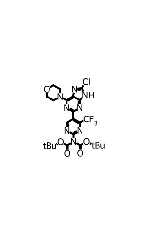 CC(C)(C)OC(=O)N(C(=O)OC(C)(C)C)c1ncc(-c2nc(N3CCOCC3)c3nc(Cl)[nH]c3n2)c(C(F)(F)F)n1